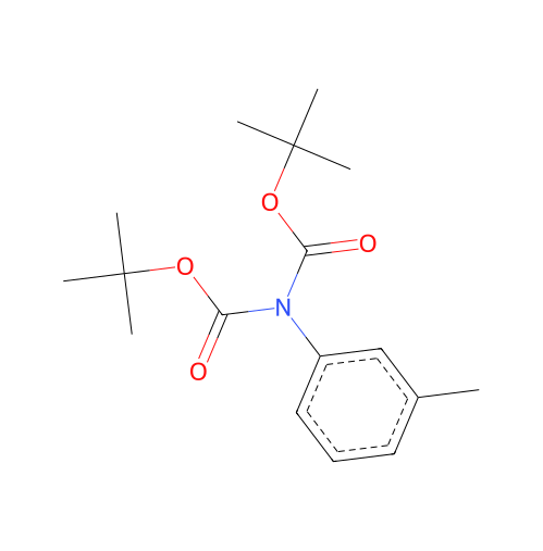 Cc1cccc(N(C(=O)OC(C)(C)C)C(=O)OC(C)(C)C)c1